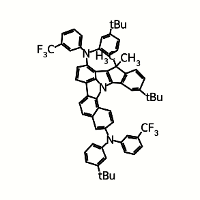 CC(C)(C)c1cccc(N(c2cccc(C(F)(F)F)c2)c2ccc3c(ccc4c5ccc(N(c6cccc(C(C)(C)C)c6)c6cccc(C(F)(F)F)c6)c6c7c(n(c65)c34)-c3cc(C(C)(C)C)ccc3C7(C)C)c2)c1